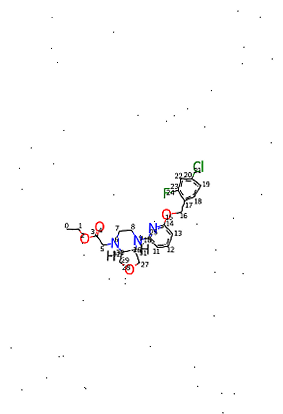 CCOC(=O)CN1CCN(c2cccc(OCc3ccc(Cl)cc3F)n2)[C@H]2COC[C@H]21